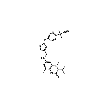 Cc1nc(NCc2cnn(Cc3ccc(C(C)(C)C#N)nc3)c2)cc2c1NC(=O)[C@H](C(C)C)N2C